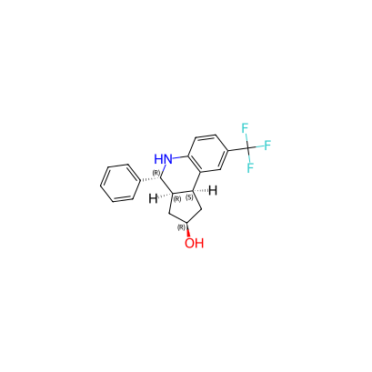 O[C@H]1C[C@@H]2[C@H](C1)c1cc(C(F)(F)F)ccc1N[C@H]2c1ccccc1